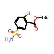 CC(C)(C)OC(=O)c1cc(S(N)(=O)=O)ccc1Cl